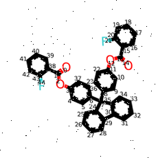 O=C(Oc1ccc(C2(c3ccc(OC(=O)c4ccccc4F)cc3)c3ccccc3-c3ccccc32)cc1)c1ccccc1F